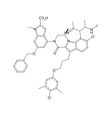 CC(=N)C(c1c(Cl)ccc2c(CCCOc3cc(C)c(Cl)c(C)c3)c3n(c12)[C@H](C)CN(c1cc(OCc2ccccc2)cc2c1cc(C(=O)O)n2C)C3=O)C(C)NI